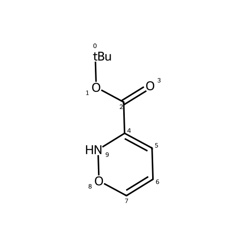 CC(C)(C)OC(=O)C1=CC=CON1